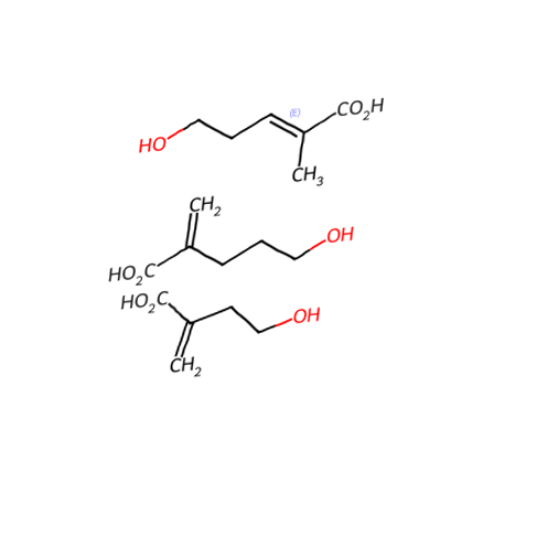 C/C(=C\CCO)C(=O)O.C=C(CCCO)C(=O)O.C=C(CCO)C(=O)O